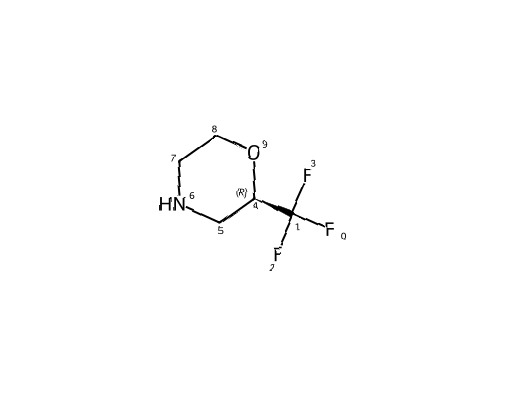 FC(F)(F)[C@H]1CNCCO1